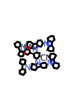 N#Cc1cccc(-c2cc(-n3c4cc(-n5c6ccccc6c6ccccc65)ccc4c4ccc(-n5c6ccccc6c6ccccc65)cc43)c(C#N)cc2-n2c3cc(-n4c5ccccc5c5ccccc54)ccc3c3ccc(-n4c5ccccc5c5ccccc54)cc32)c1